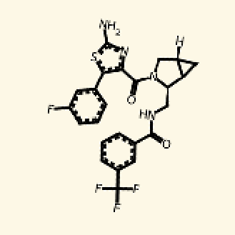 Nc1nc(C(=O)N2C[C@@H]3CC3[C@H]2CNC(=O)c2cccc(C(F)(F)F)c2)c(-c2cccc(F)c2)s1